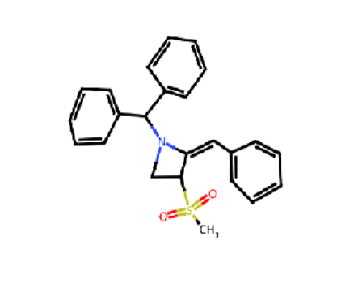 CS(=O)(=O)C1CN(C(c2ccccc2)c2ccccc2)C1=Cc1ccccc1